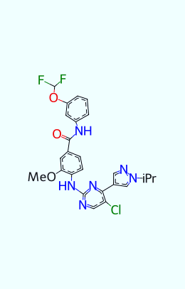 COc1cc(C(=O)Nc2cccc(OC(F)F)c2)ccc1Nc1ncc(Cl)c(-c2cnn(C(C)C)c2)n1